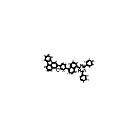 c1ccc(-c2nc(-c3ccccc3)nc(-c3cccc4c(-c5ccc6c(c5)oc5c7cccc8c7c(cc65)-c5ccccc5-8)cccc34)n2)cc1